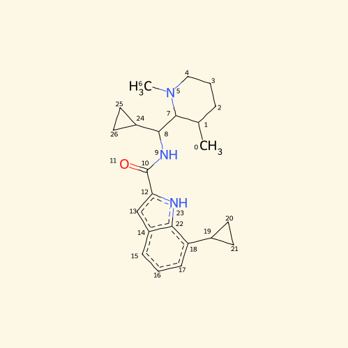 CC1CCCN(C)C1C(NC(=O)c1cc2cccc(C3CC3)c2[nH]1)C1CC1